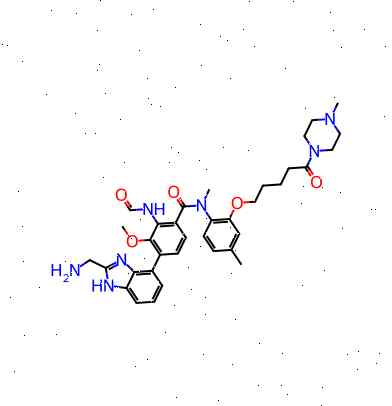 COc1c(-c2cccc3[nH]c(CN)nc23)ccc(C(=O)N(C)c2ccc(C)cc2OCCCCC(=O)N2CCN(C)CC2)c1NC=O